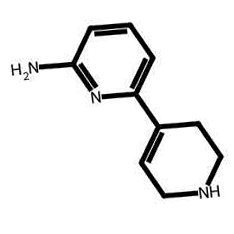 Nc1cccc(C2=CCNCC2)n1